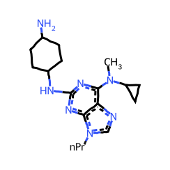 CCCn1cnc2c(N(C)C3CC3)nc(NC3CCC(N)CC3)nc21